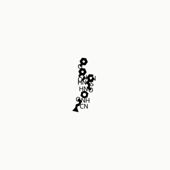 Cc1cc(Oc2ccccc2)ccc1N1C(=O)Nc2c(C(=O)NC3CCC(NC(=O)/C(C#N)=C/C4CC4)CC3)sc3nccc1c23